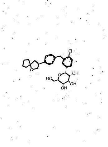 OC[C@H]1O[C@H](c2ccc(Cl)c(Cc3ccc(C4COC5(CCCC5)C4)cc3)c2)[C@H](O)[C@@H](O)[C@@H]1O